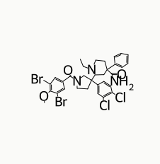 CCN1CCC(C(N)=O)(c2ccccc2)CC1C1(c2ccc(Cl)c(Cl)c2)CCN(C(=O)c2cc(Br)c(OC)c(Br)c2)C1